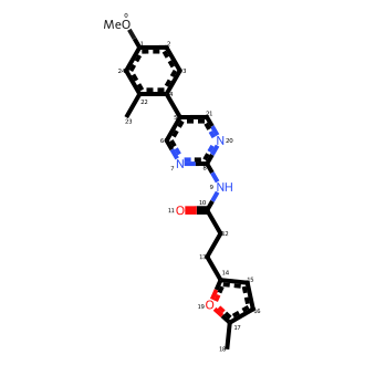 COc1ccc(-c2cnc(NC(=O)CCc3ccc(C)o3)nc2)c(C)c1